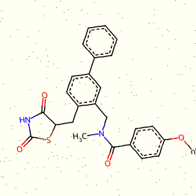 CCCCOc1ccc(C(=O)N(C)Cc2cc(-c3ccccc3)ccc2CC2SC(=O)NC2=O)cc1